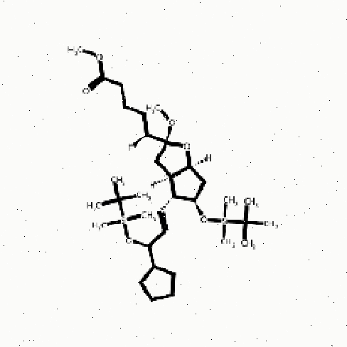 COC(=O)CCC[C@H](F)[C@@]1(OC)C[C@@H]2[C@@H](/C=C/[C@H](O[Si](C)(C)C(C)(C)C)C3CCCC3)[C@H](O[Si](C)(C)C(C)(C)C)C[C@@H]2O1